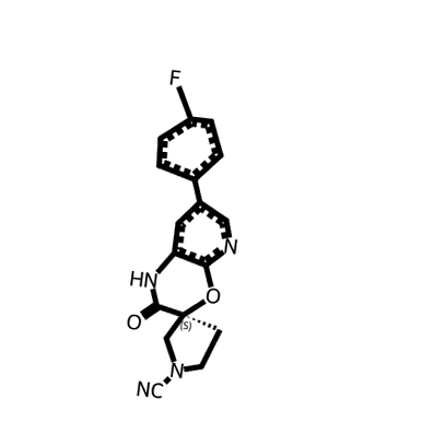 N#CN1CC[C@@]2(C1)Oc1ncc(-c3ccc(F)cc3)cc1NC2=O